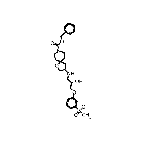 CS(=O)(=O)c1cccc(OC[C@@H](O)CN[C@H]2COC3(CCN(C(=O)OCc4ccccc4)CC3)C2)c1